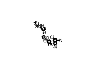 Cc1cc(S(=O)(=O)N2CC[C@H](COc3ccnc(CNC(=O)OC(C)(C)C)c3)C2)ccc1O[C@H]1c2cc(Cl)cc(C#N)c2C[C@@H]1N(C)C